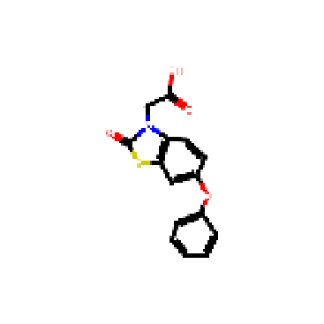 O=C(O)Cn1c(=O)sc2cc(Oc3ccccc3)ccc21